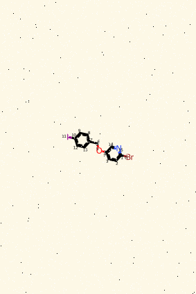 Brc1ccc(OCc2ccc(I)cc2)cn1